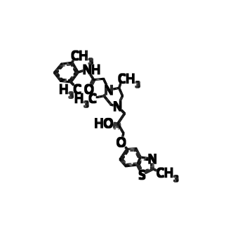 Cc1nc2cc(OC[C@H](O)CN3CC(C)N(CC(=O)Nc4c(C)cccc4C)C(C)C3)ccc2s1